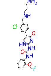 NCCCNCc1ccc(-c2c[nH]c(NC(=O)Nc3ccccc3OCF)nc2=O)cc1Cl